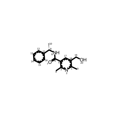 Cc1nc(C)c(C(=O)N[C@@H](C)c2ccccc2)cc1CO